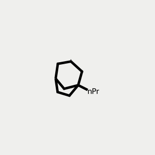 CCCC12C[CH]CC(CC1)C2